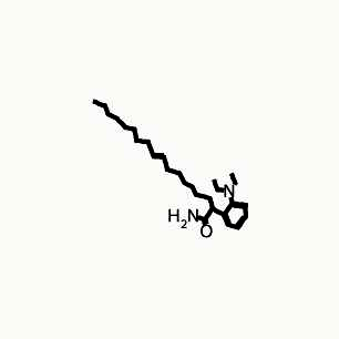 CCCCCCCCC=CCCCCCCC(C(N)=O)c1ccccc1N(CC)CC